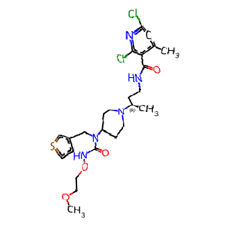 COCCONC(=O)N(Cc1ccsc1)C1CCN([C@H](C)CCNC(=O)c2c(C)cc(Cl)nc2Cl)CC1